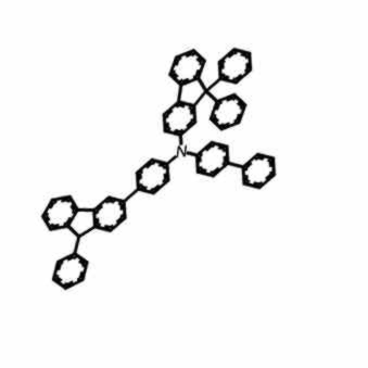 c1ccc(-c2ccc(N(c3ccc(-c4ccc5c(c4)-c4ccccc4C5c4ccccc4)cc3)c3ccc4c(c3)C(c3ccccc3)(c3ccccc3)c3ccccc3-4)cc2)cc1